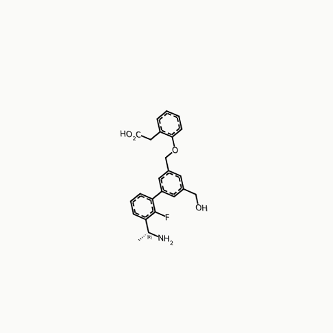 C[C@@H](N)c1cccc(-c2cc(CO)cc(COc3ccccc3CC(=O)O)c2)c1F